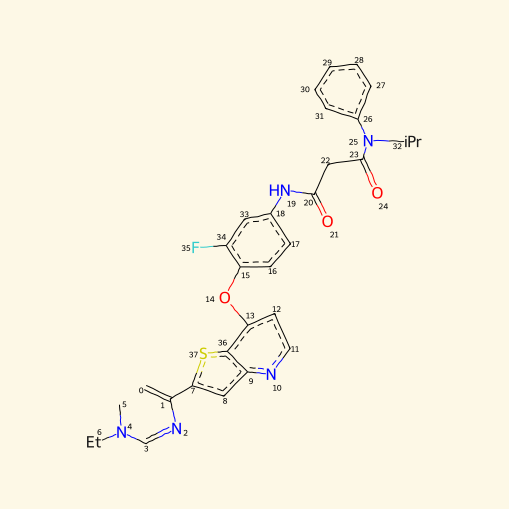 C=C(/N=C\N(C)CC)c1cc2nccc(Oc3ccc(NC(=O)CC(=O)N(c4ccccc4)C(C)C)cc3F)c2s1